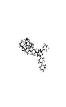 c1ccc(-c2ccc(-c3nc(-c4ccccc4)nc(-c4ccc(-c5ccc6c(c5)C5(c7ccccc7O6)c6ccccc6-c6ccccc65)cc4)n3)cc2)cc1